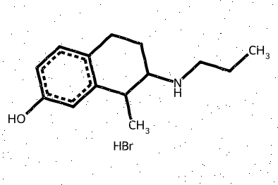 Br.CCCNC1CCc2ccc(O)cc2C1C